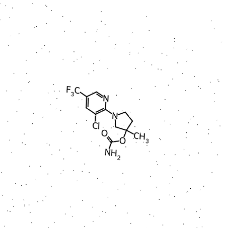 CC1(OC(N)=O)CCN(c2ncc(C(F)(F)F)cc2Cl)C1